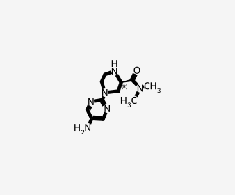 CN(C)C(=O)[C@H]1CN(c2ncc(N)cn2)CCN1